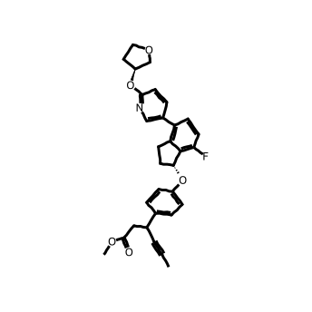 CC#CC(CC(=O)OC)c1ccc(O[C@@H]2CCc3c(-c4ccc(O[C@H]5CCOC5)nc4)ccc(F)c32)cc1